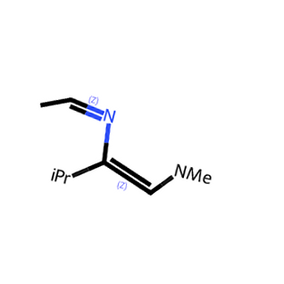 C/C=N\C(=C/NC)C(C)C